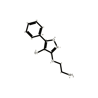 CCc1c(OCCN)noc1-c1ccccc1